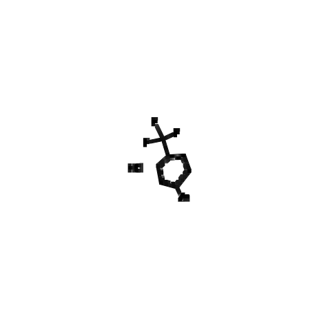 Cl.FC(F)(F)c1cc[c]([Zn])cc1